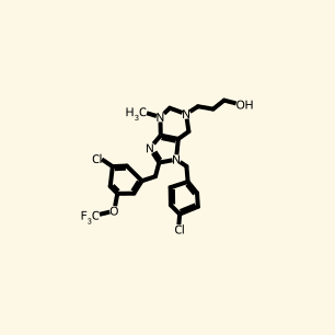 CN1CN(CCCO)Cc2c1nc(Cc1cc(Cl)cc(OC(F)(F)F)c1)n2Cc1ccc(Cl)cc1